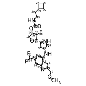 COCc1cn2c(Nc3cc([C@@H]4OC[C@H](OC(=O)NCCC5CCC5)[C@H]4F)[nH]n3)nc(C(F)F)cc2n1